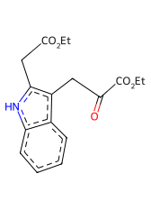 CCOC(=O)Cc1[nH]c2ccccc2c1CC(=O)C(=O)OCC